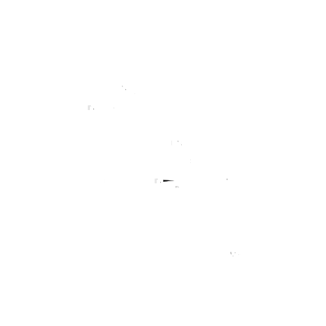 COc1ccc([C@@H](Nc2ccc(C(=N)N)cc2)C(=O)NCc2ccccc2)c(O)c1.Cl